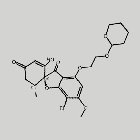 COc1cc(OCCOC2CCCCO2)c2c(c1Cl)O[C@]1(C2=O)C(O)=CC(=O)C[C@H]1C